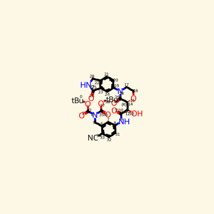 CC(C)(C)OC(=O)N(Cc1cc(NC(=O)[C@H](O)[C@H]2OCCN(c3ccc4c(c3)C(=O)NC4)C2=O)ccc1C#N)C(=O)OC(C)(C)C